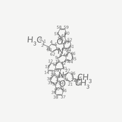 CCCc1ccc(N(c2cc3c4ccccc4c(N(c4ccc(C(C)C)cc4)c4cccc5c4oc4ccccc45)cc3c3ccccc23)c2cccc3c2oc2ccccc23)cc1